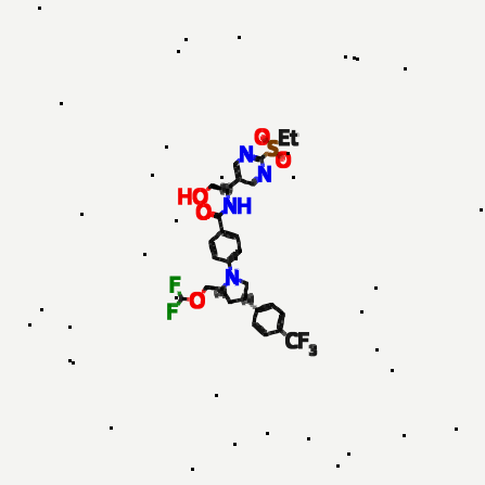 CCS(=O)(=O)c1ncc([C@H](CO)NC(=O)c2ccc(N3C[C@H](c4ccc(C(F)(F)F)cc4)C[C@H]3COC(F)F)cc2)cn1